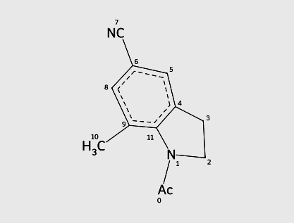 CC(=O)N1CCc2cc(C#N)cc(C)c21